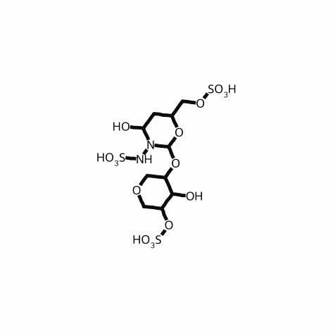 O=S(=O)(O)NN1C(O)CC(COS(=O)(=O)O)OC1OC1COCC(OS(=O)(=O)O)C1O